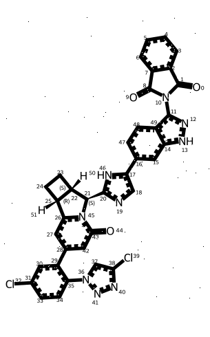 O=C1c2ccccc2C(=O)N1c1n[nH]c2cc(-c3cnc([C@@H]4[C@H]5CC[C@H]5c5cc(-c6cc(Cl)ccc6-n6cc(Cl)nn6)cc(=O)n54)[nH]3)ccc12